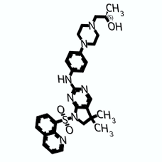 C[C@H](O)CN1CCN(c2ccc(Nc3ncc4c(n3)N(S(=O)(=O)c3cccc5cccnc35)CC4(C)C)cc2)CC1